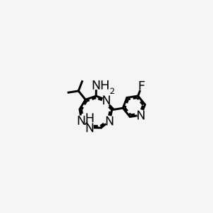 CC(C)c1cn[nH]cnc(-c2cncc(F)c2)nc1N